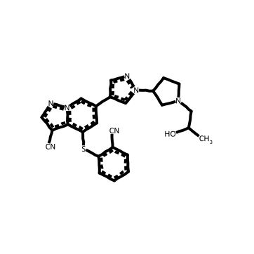 CC(O)CN1CCC(n2cc(-c3cc(Sc4ccccc4C#N)c4c(C#N)cnn4c3)cn2)C1